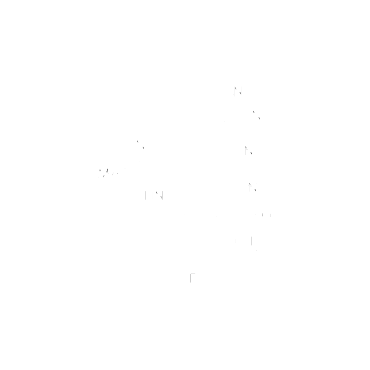 C=CC(=O)N1CCN(c2ncnc3ccc(-c4cnc(OC)c(NCc5ccc(F)cc5F)c4)cc23)CC1